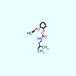 C#CCOc1ccccc1COC(=O)NCC/C(C)=C/C